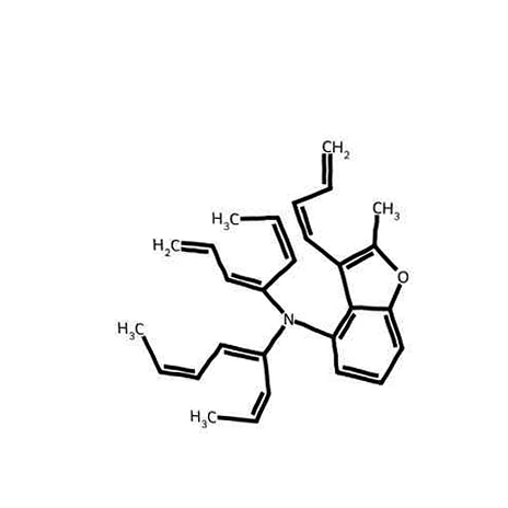 C=C/C=C\c1c(C)oc2cccc(N(C(/C=C\C)=C/C=C)C(/C=C\C)=C/C=C\C)c12